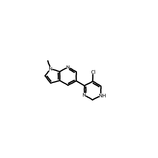 Cn1ccc2cc(C3=NCNC=C3Cl)cnc21